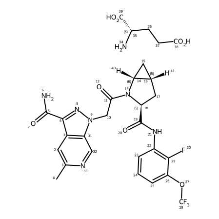 Cc1cc2c(C(N)=O)nn(CC(=O)N3[C@@H]4C[C@@H]4C[C@H]3C(=O)Nc3cccc(OC(F)(F)F)c3F)c2cn1.N[C@@H](CCC(=O)O)C(=O)O